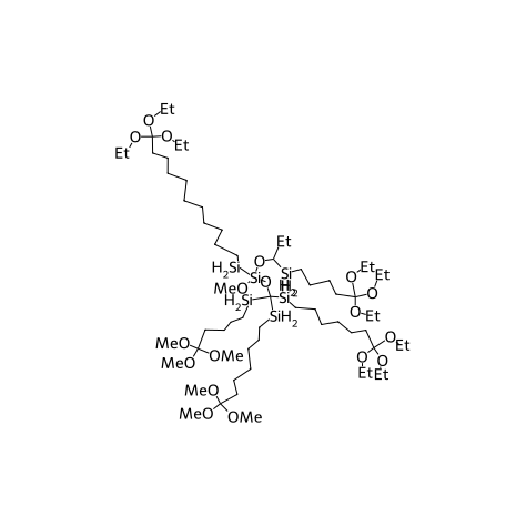 CCOC(CCCCCCCCCC[SiH2][Si](OC)(OC(CC)[SiH2]CCCCC(OCC)(OCC)OCC)OC([SiH2]CCCCCCC(OC)(OC)OC)([SiH2]CCCCCCC(OCC)(OCC)OCC)[SiH2]CCCCC(OC)(OC)OC)(OCC)OCC